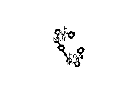 O=C(Nc1ccccc1)N1CCC[C@H]1c1ncc(C#Cc2ccc(-c3cnc([C@@H]4CCCN4C(=O)Nc4ccccc4)[nH]3)cc2)[nH]1